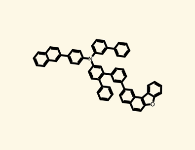 c1ccc(-c2cccc(N(c3ccc(-c4ccc5ccccc5c4)cc3)c3ccc(-c4ccccc4)c(-c4cccc(-c5ccc6ccc7oc8ccccc8c7c6c5)c4)c3)c2)cc1